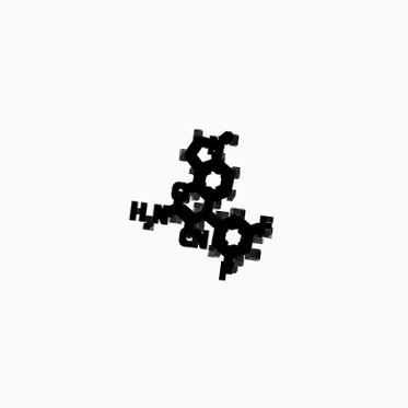 CN1CCc2c1ccc1c2OC(N)=C(C#N)C1c1cc(F)cc(F)c1